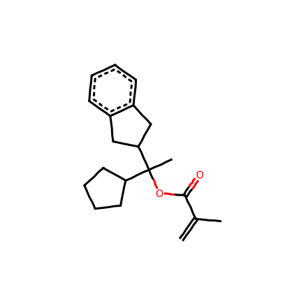 C=C(C)C(=O)OC(C)(C1CCCC1)C1Cc2ccccc2C1